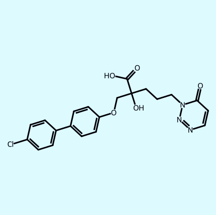 O=C(O)C(O)(CCCn1nnccc1=O)COc1ccc(-c2ccc(Cl)cc2)cc1